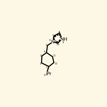 CC(C)C1CCC(C[n+]2cc[nH]c2)CC1